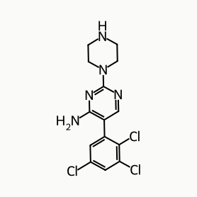 Nc1nc(N2CCNCC2)ncc1-c1cc(Cl)cc(Cl)c1Cl